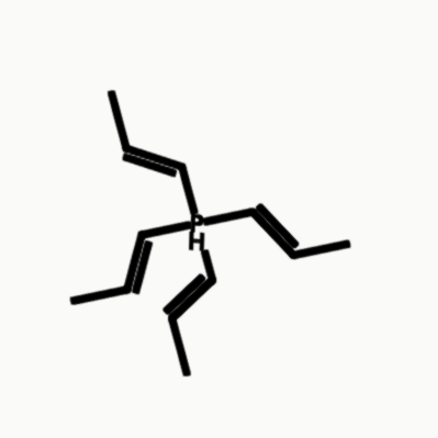 CC=C[PH](C=CC)(C=CC)C=CC